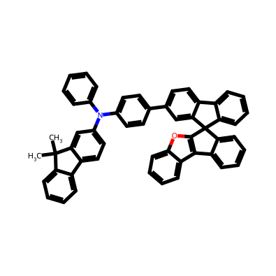 CC1(C)c2ccccc2-c2ccc(N(c3ccccc3)c3ccc(-c4ccc5c(c4)C4(c6ccccc6-5)c5ccccc5-c5c4oc4ccccc54)cc3)cc21